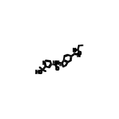 CCc1nc(-c2ccc3c(c2)CC[C@H]3NC(=O)c2ccnc(C(C)(C)O)c2)no1